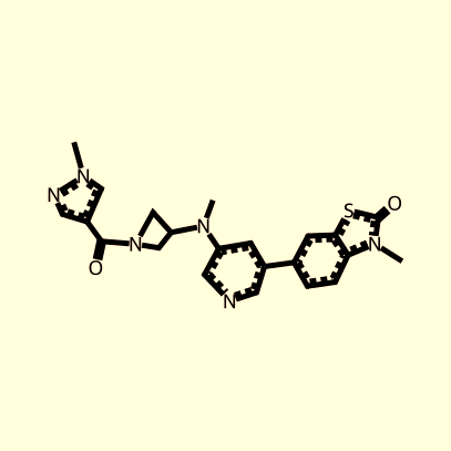 CN(c1cncc(-c2ccc3c(c2)sc(=O)n3C)c1)C1CN(C(=O)c2cnn(C)c2)C1